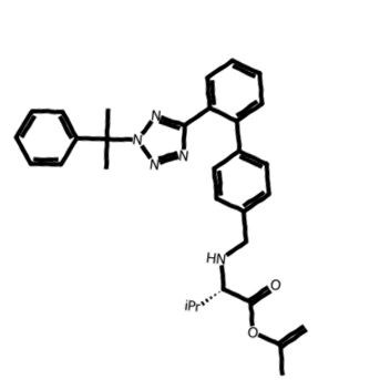 C=C(C)OC(=O)[C@@H](NCc1ccc(-c2ccccc2-c2nnn(C(C)(C)c3ccccc3)n2)cc1)C(C)C